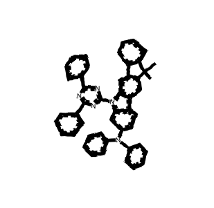 CC1(C)c2ccccc2-c2cc3c(cc21)c1ccc(N(c2ccccc2)c2ccccc2)cc1n3-c1nc(-c2ccccc2)nc(-c2ccccc2)n1